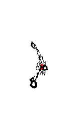 O=C(NCCCCN1CCCC1)[C@H]1[C@H](C(=O)NCCn2ccc3ccccc32)[C@@H]2C=C[C@H]1C21CC1